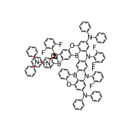 Fc1cccc(F)c1N1c2cc3c(cc2B2c4ccccc4Oc4cc(N(c5ccccc5)c5ccccc5)cc1c42)B1c2cc4c(cc2Oc2cc(N(c5ccccc5)c5ccccc5)cc(c21)N3c1c(F)cccc1F)N(c1c(F)cccc1F)c1cc(N(c2ccccc2)c2ccccc2)cc2c1B4c1ccccc1N2c1ccccc1